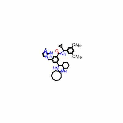 COc1cc(OC)cc(C(NC(=O)c2cc(Cn3ccn(C)c3=N)cc(C3NC4(CCCCCCCC4)NC4CCCCC43)c2)C2CC2)c1